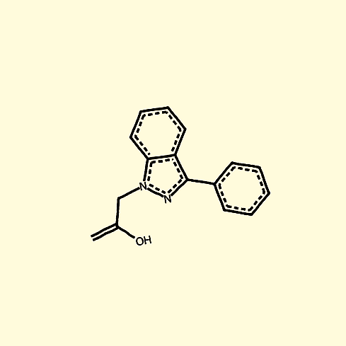 C=C(O)Cn1nc(-c2ccccc2)c2ccccc21